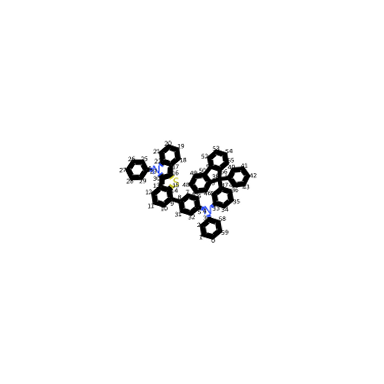 c1ccc(N(c2ccc(-c3cccc4c3sc3c5ccccc5n(-c5ccccc5)c43)cc2)c2cccc(C3(c4ccccc4)c4ccccc4-c4ccccc43)c2)cc1